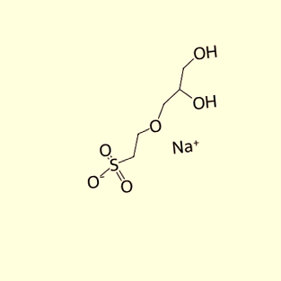 O=S(=O)([O-])CCOCC(O)CO.[Na+]